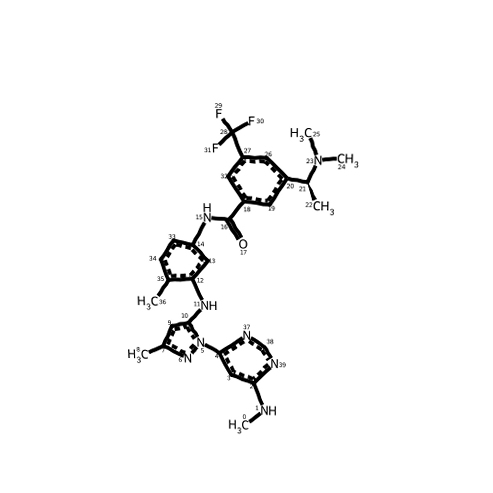 CNc1cc(-n2nc(C)cc2Nc2cc(NC(=O)c3cc([C@H](C)N(C)C)cc(C(F)(F)F)c3)ccc2C)ncn1